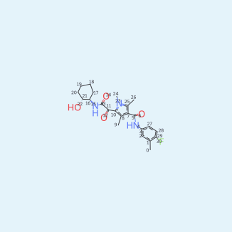 Cc1cc(NC(=O)c2c(C)c(C(=O)C(=O)N[C@@H]3CCCC[C@H]3O)n(C)c2C)ccc1F